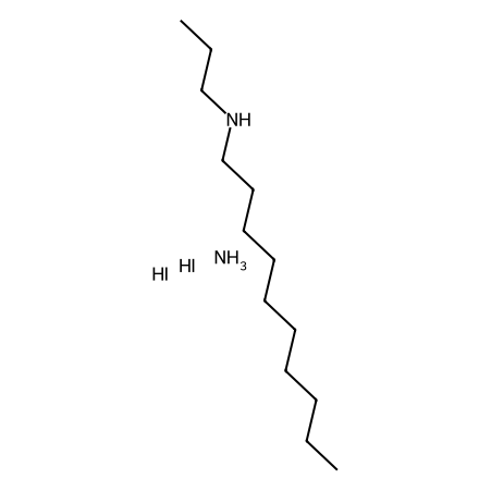 CCCCCCCCCCNCCC.I.I.N